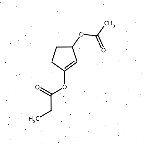 CCC(=O)OC1=CC(OC(C)=O)CC1